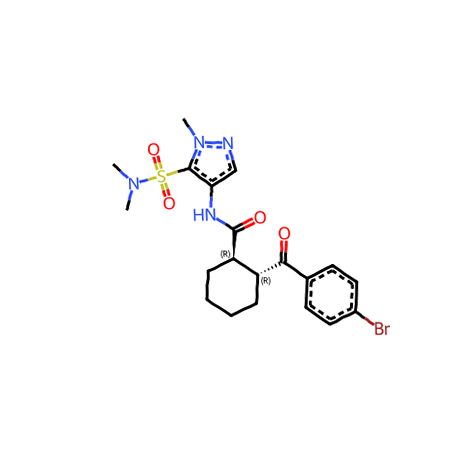 CN(C)S(=O)(=O)c1c(NC(=O)[C@@H]2CCCC[C@H]2C(=O)c2ccc(Br)cc2)cnn1C